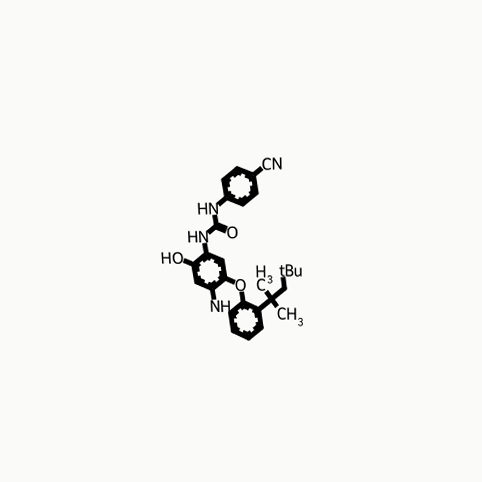 CC(C)(C)CC(C)(C)c1ccccc1Oc1cc(NC(=O)Nc2ccc(C#N)cc2)c(O)cc1N